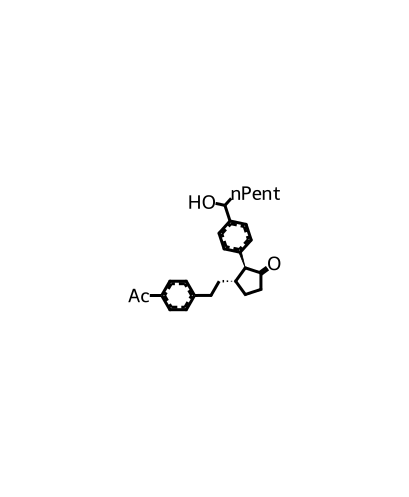 CCCCCC(O)c1ccc([C@H]2C(=O)CC[C@@H]2CCc2ccc(C(C)=O)cc2)cc1